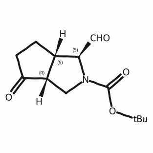 CC(C)(C)OC(=O)N1C[C@@H]2C(=O)CC[C@@H]2[C@H]1C=O